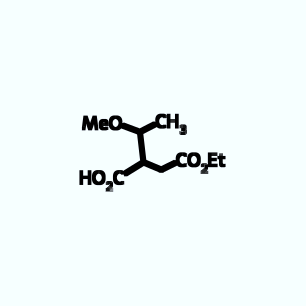 CCOC(=O)CC(C(=O)O)C(C)OC